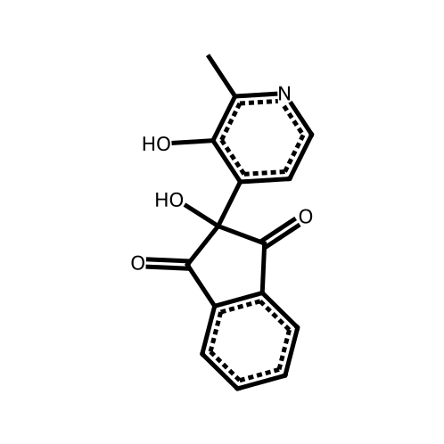 Cc1nccc(C2(O)C(=O)c3ccccc3C2=O)c1O